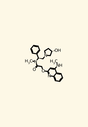 CNc1cc(OCC(=O)N(C)[C@H](CN2CC[C@H](O)C2)c2ccccc2)nc2ccccc12